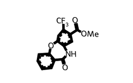 COC(=O)c1cc2c(cc1C(F)(F)F)Oc1ccccc1C(=O)N2